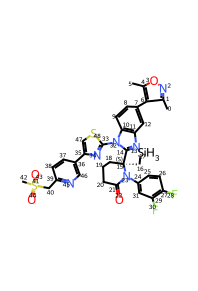 Cc1noc(C)c1-c1ccc2c(c1)nc([C@]1(C[SiH3])CCCC(=O)N1c1ccc(F)c(F)c1)n2-c1nc(-c2ccc(CS(C)(=O)=O)nc2)cs1